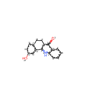 O=c1c2c([nH]c3ccccc13)-c1cc(O)ccc1CC2